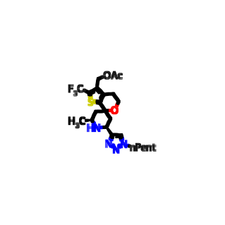 CCCCCn1cc([C@@H]2CC3(C[C@H](C)N2)OCCc2c3sc(C(F)(F)F)c2COC(C)=O)nn1